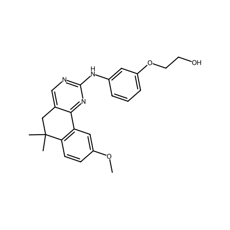 COc1ccc2c(c1)-c1nc(Nc3cccc(OCCO)c3)ncc1CC2(C)C